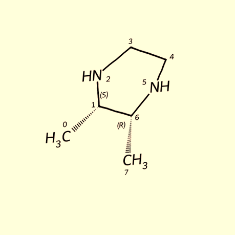 C[C@@H]1NCCN[C@@H]1C